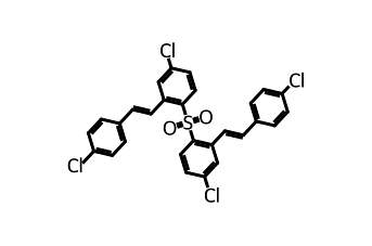 O=S(=O)(c1ccc(Cl)cc1C=Cc1ccc(Cl)cc1)c1ccc(Cl)cc1C=Cc1ccc(Cl)cc1